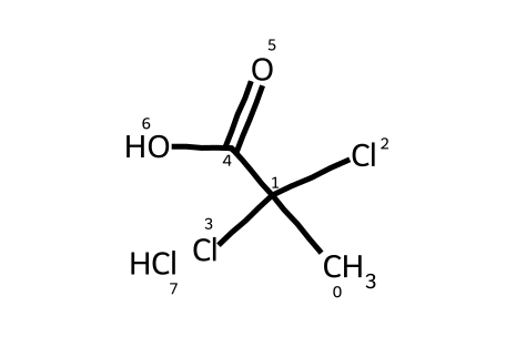 CC(Cl)(Cl)C(=O)O.Cl